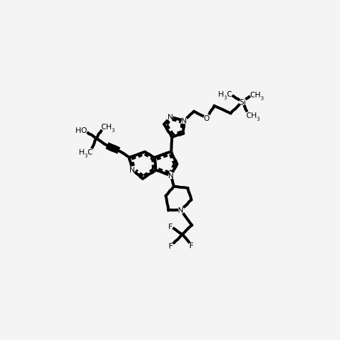 CC(C)(O)C#Cc1cc2c(-c3cnn(COCC[Si](C)(C)C)c3)cn(C3CCN(CC(F)(F)F)CC3)c2cn1